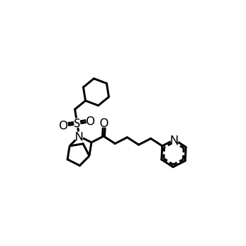 O=C(CCCCc1ccccn1)C1C2CCC(C2)N1S(=O)(=O)CC1CCCCC1